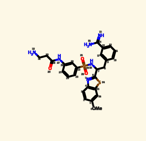 COc1ccc2nc(C(Cc3cccc(C(=N)N)c3)NS(=O)(=O)c3cccc(NC(=O)CCN)c3)sc2c1